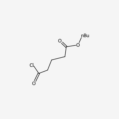 CCCCOC(=O)CCCC(=O)Cl